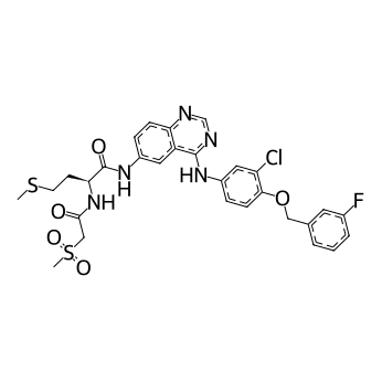 CSCC[C@H](NC(=O)CS(C)(=O)=O)C(=O)Nc1ccc2ncnc(Nc3ccc(OCc4cccc(F)c4)c(Cl)c3)c2c1